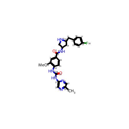 COc1cc(C(=O)NC2CNC(Cc3ccc(F)cc3)C2)ccc1NC(=O)Nc1cnc(C)cn1